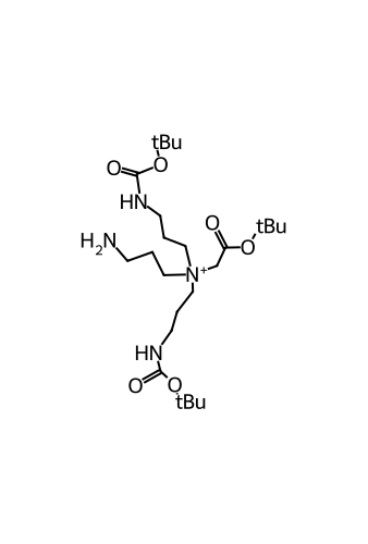 CC(C)(C)OC(=O)C[N+](CCCN)(CCCNC(=O)OC(C)(C)C)CCCNC(=O)OC(C)(C)C